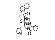 O=C(NNC(=S)N[C@@H](Cc1cccnc1)CN1C(=O)c2ccccc2C1=O)c1nccc2c[c]ccc12